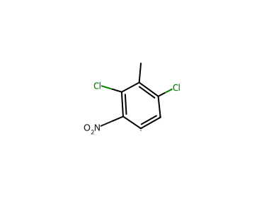 Cc1c(Cl)c[c]c([N+](=O)[O-])c1Cl